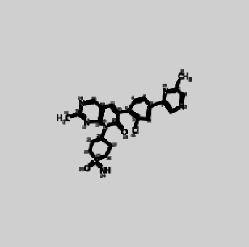 Cc1cncc(-c2ccc(-c3cc4cnc(C)nc4n(C4CCS(=N)(=O)CC4)c3=O)c(Cl)c2)n1